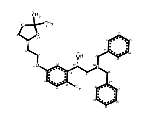 CC1(C)OC[C@H](CCOc2ccc(F)c([C@H](O)CN(Cc3ccccc3)Cc3ccccc3)c2)O1